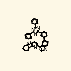 C1=CCC2Oc3ccc(-c4ncnc5ccc(-c6cccc(-c7nc(-c8ccccc8)nc(-c8ccccc8)n7)c6)cc45)nc3C2=C1